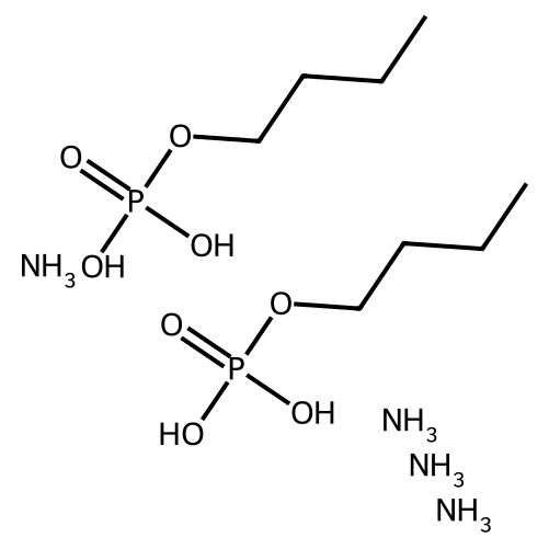 CCCCOP(=O)(O)O.CCCCOP(=O)(O)O.N.N.N.N